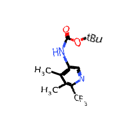 Cc1c(NC(=O)OC(C)(C)C)cnc(C(F)(F)F)c1C